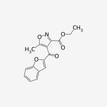 CCOC(=O)c1noc(C)c1C(=O)c1cc2ccccc2o1